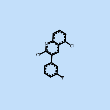 Fc1cccc(-c2cc3c(Cl)cccc3nc2Cl)c1